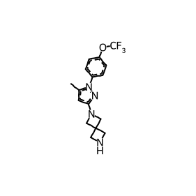 Cc1cc(N2CC3(CNC3)C2)nn1-c1ccc(OC(F)(F)F)cc1